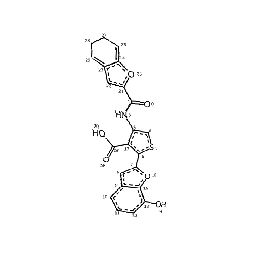 O=C(Nc1csc(-c2cc3cccc(O)c3o2)c1C(=O)O)c1cc2c(o1)=CCCC=2